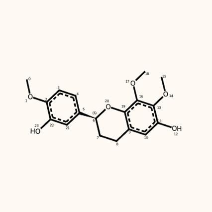 COc1ccc([C@@H]2CCc3cc(O)c(OC)c(OC)c3O2)cc1O